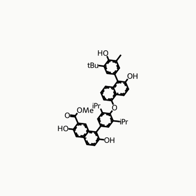 COC(=O)c1cc2c(-c3cc(C(C)C)c(Oc4cccc5c(-c6cc(C)c(O)c(C(C)(C)C)c6)c(O)ccc45)c(C(C)C)c3)c(O)ccc2cc1O